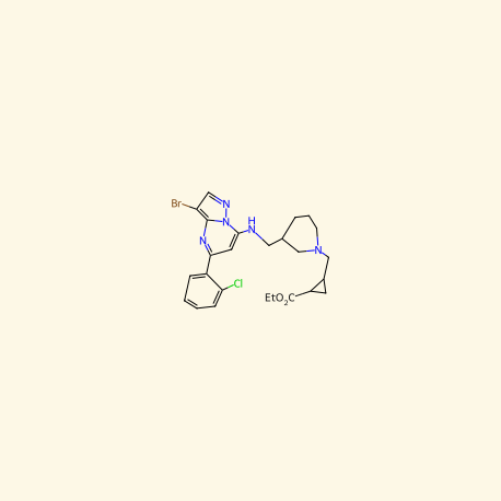 CCOC(=O)C1CC1CN1CCCC(CNc2cc(-c3ccccc3Cl)nc3c(Br)cnn23)C1